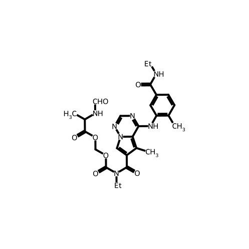 CCNC(=O)c1ccc(C)c(Nc2ncnn3cc(C(=O)N(CC)C(=O)OCOC(=O)C(C)NC=O)c(C)c23)c1